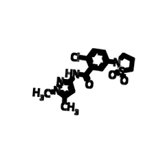 Cc1cc(NC(=O)c2cc(N3CCCS3(=O)=O)ccc2Cl)nn1C